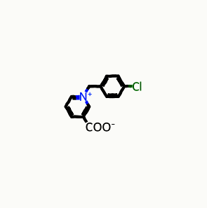 O=C([O-])c1ccc[n+](Cc2ccc(Cl)cc2)c1